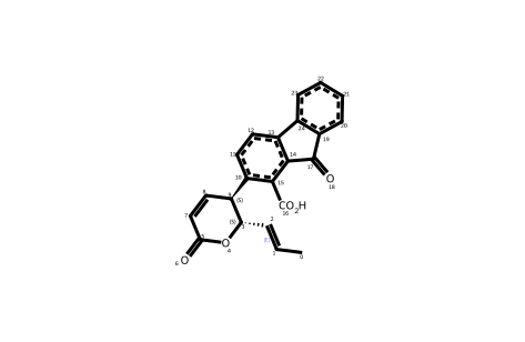 C/C=C/[C@@H]1OC(=O)C=C[C@H]1c1ccc2c(c1C(=O)O)C(=O)c1ccccc1-2